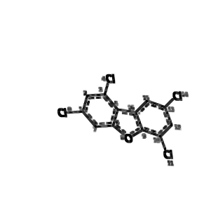 Clc1cc(Cl)c2c(c1)oc1c(Cl)cc(Cl)cc12